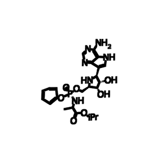 CC(C)OC(=O)C(C)NP(=O)(OC[C@H]1N[C@@H](c2c[nH]c3c(N)ncnc23)[C@H](O)[C@@H]1O)Oc1ccccc1